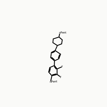 CCCCCc1ccc(-c2ccc(C3CCC(CCCCC)CC3)cc2)c(F)c1F